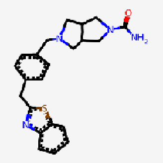 NC(=O)N1CC2CN(Cc3ccc(Cc4nc5ccccc5s4)cc3)CC2C1